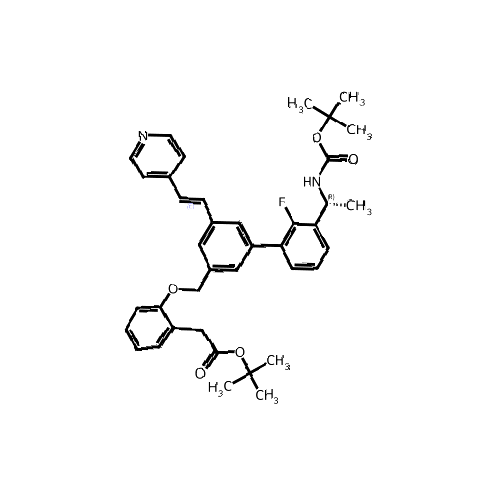 C[C@@H](NC(=O)OC(C)(C)C)c1cccc(-c2cc(/C=C/c3ccncc3)cc(COc3ccccc3CC(=O)OC(C)(C)C)c2)c1F